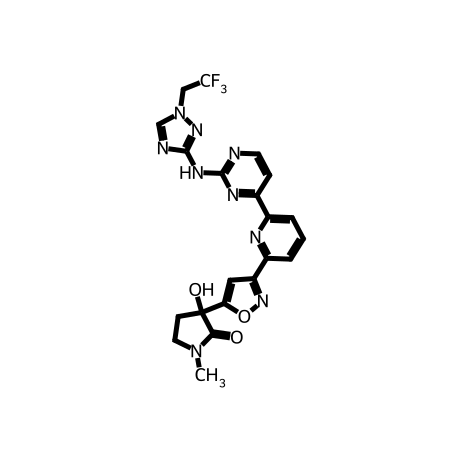 CN1CCC(O)(c2cc(-c3cccc(-c4ccnc(Nc5ncn(CC(F)(F)F)n5)n4)n3)no2)C1=O